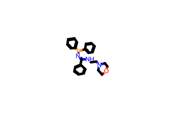 c1ccc(C(=NP(c2ccccc2)c2ccccc2)NCCN2CCOCC2)cc1